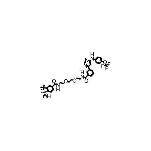 CC1(C)OB(O)c2ccc(C(=O)NCCOCCOCCNC(=O)c3cccc(-c4cc(Nc5ccc(OC(F)(F)F)cc5)ncn4)c3)cc21